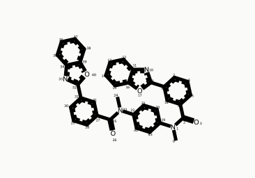 CN(C(=O)c1cccc(-c2nc3ccccc3o2)c1)c1ccc(N(C)C(=O)c2cccc(-c3nc4ccccc4o3)c2)cc1